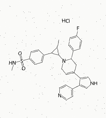 CNS(=O)(=O)c1ccc(C2C(C)C2N2CC=C(c3c[nH]cc3-c3ccncc3)CC2c2ccc(F)cc2)cc1.Cl